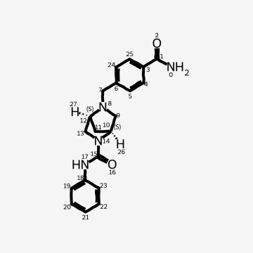 NC(=O)c1ccc(CN2C[C@@H]3C[C@H]2CN3C(=O)Nc2ccccc2)cc1